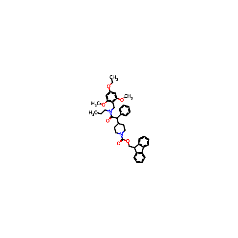 CCCN(Cc1c(OC)cc(OCC)cc1OC)C(=O)C(c1ccccc1)C1CCN(C(=O)OCC2c3ccccc3-c3ccccc32)CC1